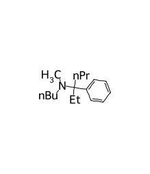 CCCCN(C)C(CC)(CCC)c1ccccc1